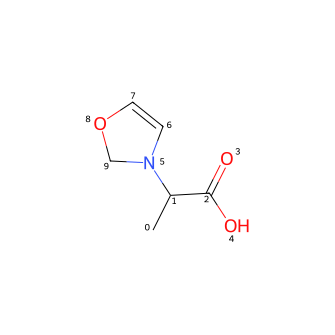 CC(C(=O)O)N1C=COC1